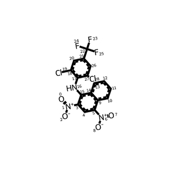 O=[N+]([O-])c1cc([N+](=O)[O-])c2ccccc2c1Nc1c(Cl)cc(C(F)(F)F)cc1Cl